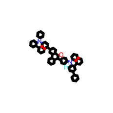 Fc1cc(-c2ccccc2)cc(-c2ccccc2)c1N(c1ccccc1)c1ccc2c(c1)oc1c3ccc(-c4ccc(N(c5ccccc5)c5ccccc5-c5ccccc5)cc4)cc3c3ccccc3c21